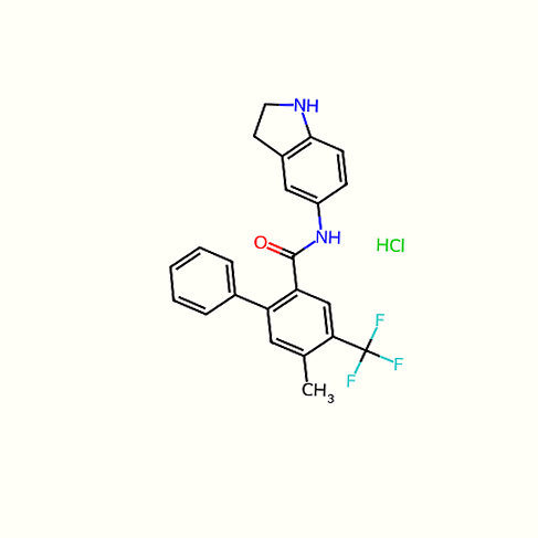 Cc1cc(-c2ccccc2)c(C(=O)Nc2ccc3c(c2)CCN3)cc1C(F)(F)F.Cl